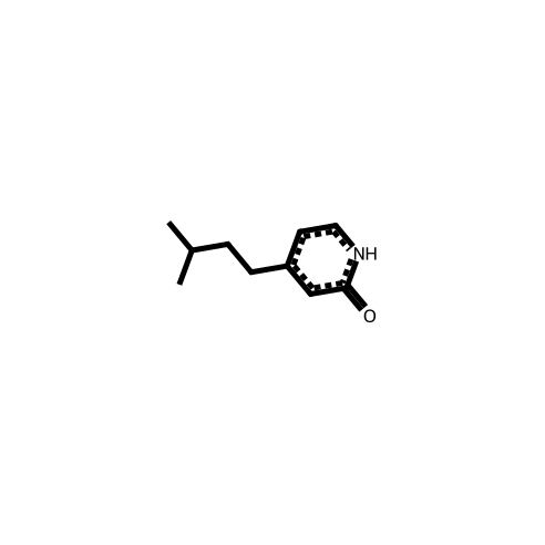 CC(C)CCc1cc[nH]c(=O)c1